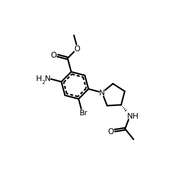 COC(=O)c1cc(N2CC[C@H](NC(C)=O)C2)c(Br)cc1N